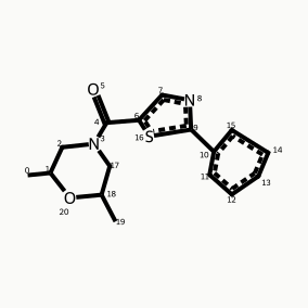 CC1CN(C(=O)c2cnc(-c3ccccc3)s2)CC(C)O1